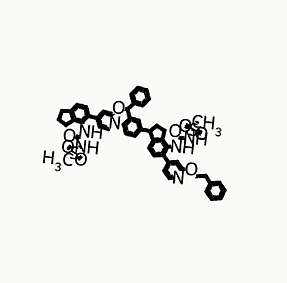 CS(=O)(=O)NC(=O)Nc1c(-c2ccnc(OC(c3ccccc3)c3cccc(C4CCc5c4ccc(-c4ccnc(OCCc6ccccc6)c4)c5NC(=O)NS(C)(=O)=O)c3)c2)ccc2c1CCC2